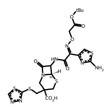 CC(C)(C)OC(=O)CON=C(C(=O)NC1C(=O)N2CC(CSc3nncs3)(C(=O)O)CS[C@H]12)c1csc(N)n1